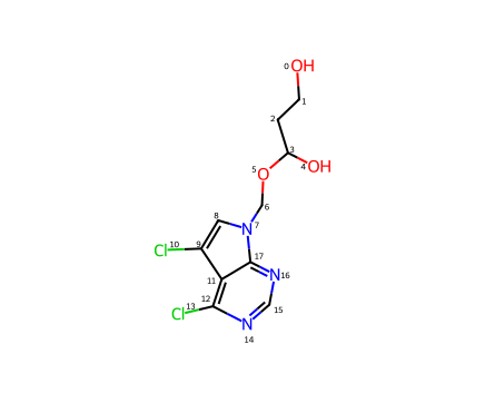 OCCC(O)OCn1cc(Cl)c2c(Cl)ncnc21